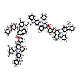 CCn1c2ccccc2c2cc(N(c3ccccc3)c3cc4oc5c(ccc6c5oc5cc(N(c7ccccc7)c7ccc8c(c7)c7ccccc7n8CCCc7cc(C)cc(N(c8ccc9oc%10ccccc%10c9c8)c8cc9oc%10c(ccc%11c%10oc%10cc(N(c%12cc(C)cc(C)c%12)c%12ccc%13oc%14ccccc%14c%13c%12)c%12ccccc%12c%10%11)c9c9ccccc89)c7)c7ccccc7c56)c4c4ccccc34)ccc21